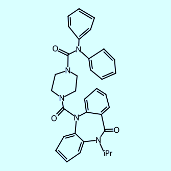 CC(C)N1C(=O)c2ccccc2N(C(=O)N2CCN(C(=O)N(c3ccccc3)c3ccccc3)CC2)c2ccccc21